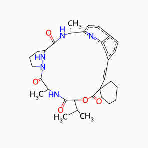 CC1NC(=O)C(C(C)C)OC(=O)C2(/C=C/c3ccc4ccc(nc4c3)[C@@H](C)NC(=O)C3CCCN(N3)C1=O)CCCCC2